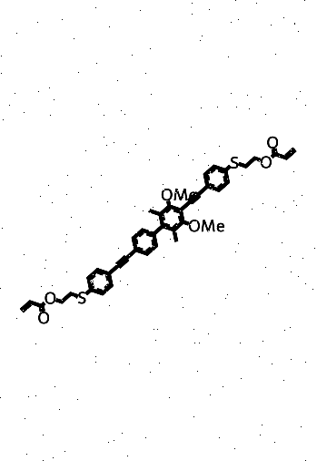 C=CC(=O)OCCSc1ccc(C#Cc2ccc(-c3c(C)c(OC)c(C#Cc4ccc(SCCOC(=O)C=C)cc4)c(OC)c3C)cc2)cc1